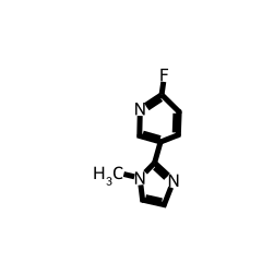 Cn1ccnc1-c1ccc(F)nc1